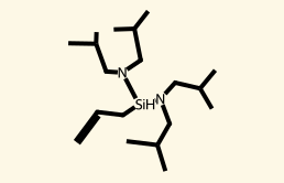 C=CC[SiH](N(CC(C)C)CC(C)C)N(CC(C)C)CC(C)C